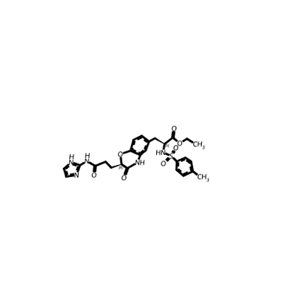 CCOC(=O)[C@H](Cc1ccc2c(c1)NC(=O)[C@@H](CCC(=O)Nc1ncc[nH]1)O2)NS(=O)(=O)c1ccc(C)cc1